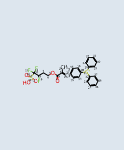 C=C(C)C(=O)OCCC(F)C(F)(F)S(=O)(=O)O.c1ccc([S+](c2ccccc2)c2ccccc2)cc1